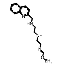 BOC=NCCNCCNCc1ccc2ccccc2n1